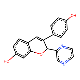 Oc1ccc(C2=Cc3ccc(O)cc3OC2c2cnccn2)cc1